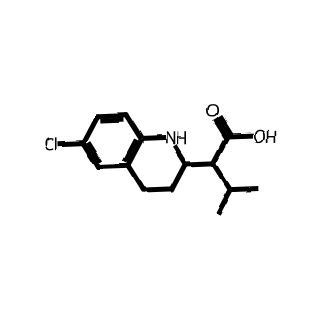 CC(C)C(C(=O)O)C1CCc2cc(Cl)ccc2N1